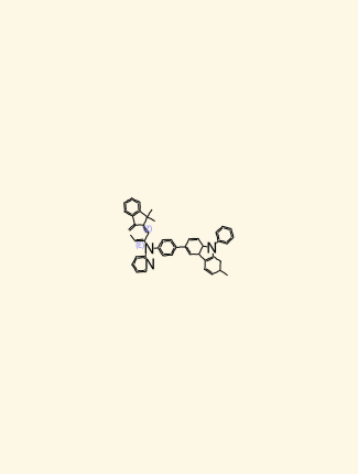 C=C1/C(=C\C(=C/C)N(c2ccc(C3=CC4C5=C(CC(C)C=C5)N(c5ccccc5)C4C=C3)cc2)c2ccccn2)C(C)(C)c2ccccc21